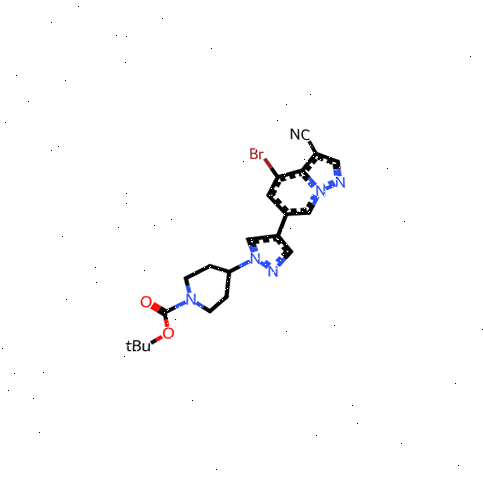 CC(C)(C)OC(=O)N1CCC(n2cc(-c3cc(Br)c4c(C#N)cnn4c3)cn2)CC1